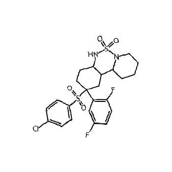 O=S1(=O)NC2CCC(c3cc(F)ccc3F)(S(=O)(=O)c3ccc(Cl)cc3)CC2C2CCCCN21